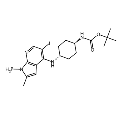 Cc1cc2c(N[C@H]3CC[C@H](NC(=O)OC(C)(C)C)CC3)c(I)cnc2n1P